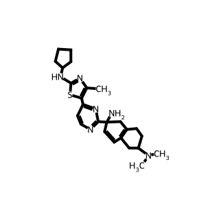 Cc1nc(NC2CCCC2)sc1-c1ccnc(C2(N)C=CC3=C(CCC(N(C)C)C3)C2)n1